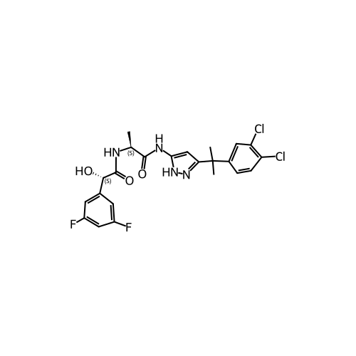 C[C@H](NC(=O)[C@@H](O)c1cc(F)cc(F)c1)C(=O)Nc1cc(C(C)(C)c2ccc(Cl)c(Cl)c2)n[nH]1